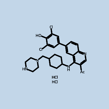 CC(=O)c1cnc2ccc(-c3cc(Cl)c(O)c(Cl)c3)cc2c1NC1CCC(CN2CCNCC2)CC1.Cl.Cl